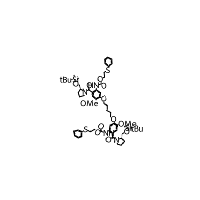 COc1cc(C(=O)N2CCC[C@H]2CO[Si](C)(C)C(C)(C)C)c(NC(=O)OCCSc2ccccc2)cc1OCCCCCOc1cc(NC(=O)OCCSc2ccccc2)c(C(=O)N2CCC[C@H]2CO[Si](C)(C)C(C)(C)C)cc1OC